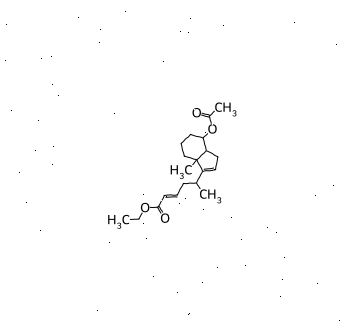 CCOC(=O)C=CCC(C)C1=CCC2C(OC(C)=O)CCCC12C